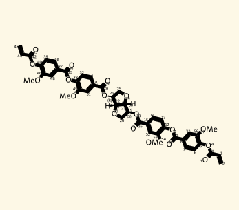 C=CC(=O)Oc1ccc(C(=O)Oc2ccc(C(=O)O[C@H]3CO[C@H]4[C@@H]3OC[C@H]4OC(=O)c3ccc(OC(=O)c4ccc(OC(=O)C=C)c(OC)c4)c(OC)c3)cc2OC)cc1OC